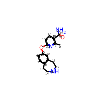 Cc1nc(Oc2ccc3c(c2)CCNCC3)ccc1C(N)=O